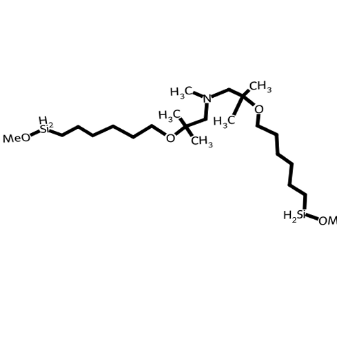 CO[SiH2]CCCCCCOC(C)(C)CN(C)CC(C)(C)OCCCCCC[SiH2]OC